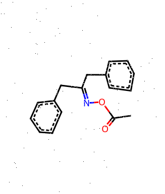 CC(=O)ON=C(Cc1ccccc1)Cc1ccccc1